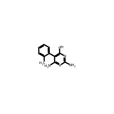 CCCc1nc(N)nc(N)c1-c1ccccc1C